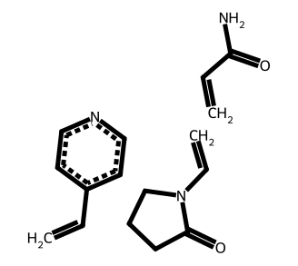 C=CC(N)=O.C=CN1CCCC1=O.C=Cc1ccncc1